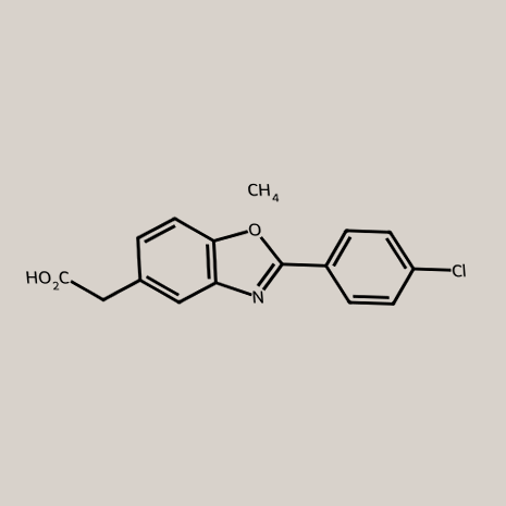 C.O=C(O)Cc1ccc2oc(-c3ccc(Cl)cc3)nc2c1